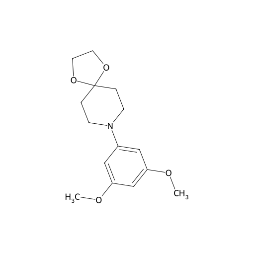 COc1cc(OC)cc(N2CCC3(CC2)OCCO3)c1